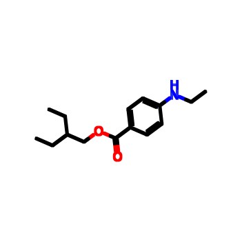 CCNc1ccc(C(=O)OCC(CC)CC)cc1